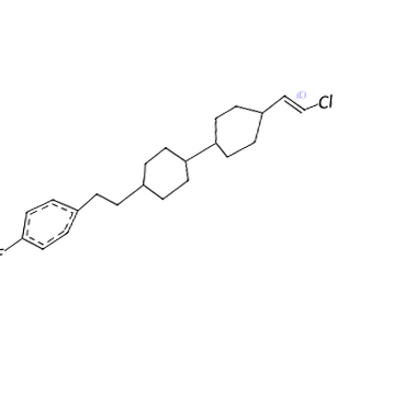 Fc1ccc(CCC2CCC(C3CCC(/C=C/Cl)CC3)CC2)cc1